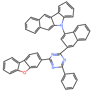 c1ccc(-c2nc(-c3cc(-n4c5ccccc5c5cc6ccccc6cc54)c4ccccc4c3)nc(-c3ccc4c(c3)oc3ccccc34)n2)cc1